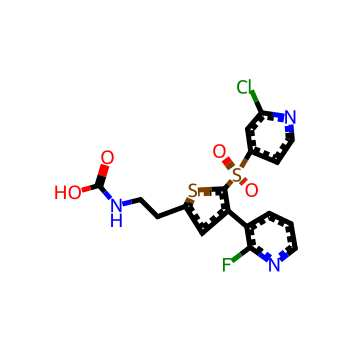 O=C(O)NCCc1cc(-c2cccnc2F)c(S(=O)(=O)c2ccnc(Cl)c2)s1